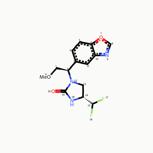 COC[C@@H](c1ccc2ocnc2c1)N1C[C@H](C(F)F)NC1=O